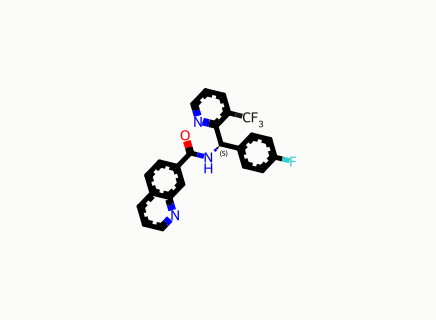 O=C(N[C@@H](c1ccc(F)cc1)c1ncccc1C(F)(F)F)c1ccc2cccnc2c1